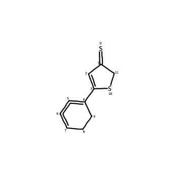 S=C1C=C(C2=C=C=CCC2)SC1